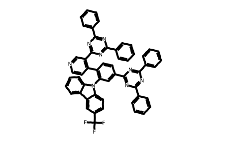 FC(F)(F)c1ccc2c(c1)c1ccccc1n2-c1cc(-c2nc(-c3ccccc3)nc(-c3ccccc3)n2)ccc1-c1ccncc1-c1nc(-c2ccccc2)nc(-c2ccccc2)n1